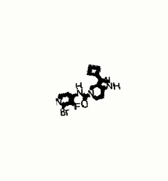 O=C(Nc1ccnc(Br)c1F)N1CCc2[nH]nc(C3CCC3)c2C1